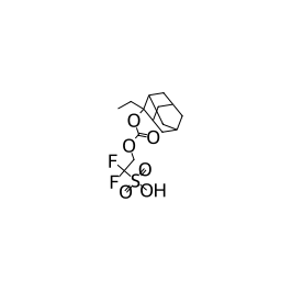 CCC1(OC(=O)OCC(F)(F)S(=O)(=O)O)C2CC3CC(C2)CC1C3